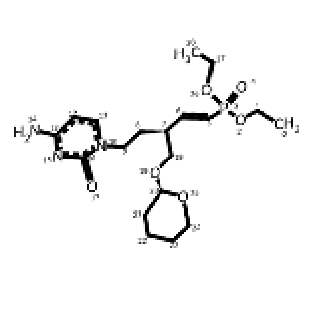 CCOP(=O)(/C=C/[C@H](CCn1ccc(N)nc1=O)CO[C@@H]1CCCCO1)OCC